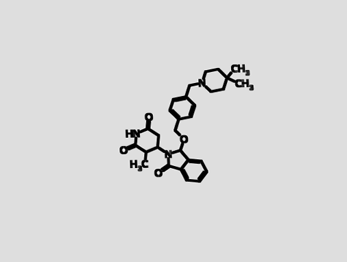 CC1C(=O)NC(=O)CC1N1C(=O)c2ccccc2C1OCc1ccc(CN2CCC(C)(C)CC2)cc1